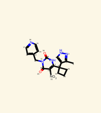 Cc1n[nH]cc1C1(c2[nH]c(=O)n(Cc3ccncc3)c(=O)c2[N+](=O)[O-])CCC1